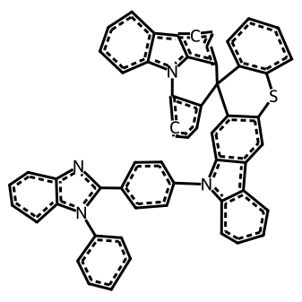 c1ccc(-n2c(-c3ccc(-n4c5ccccc5c5cc6c(cc54)C4(c5ccccc5S6)c5ccccc5-n5c6ccccc6c6cccc4c65)cc3)nc3ccccc32)cc1